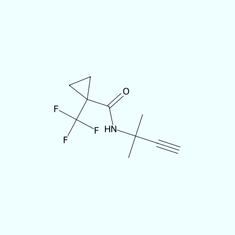 C#CC(C)(C)NC(=O)C1(C(F)(F)F)CC1